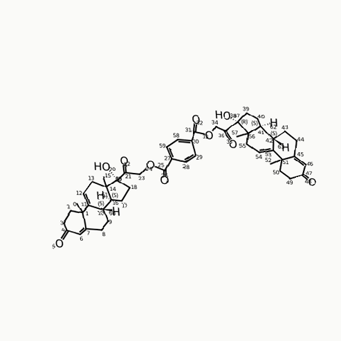 CC12CCC(=O)C=C1CC[C@@H]1C2=CCC2(C)[C@H]1CC[C@]2(O)C(=O)COC(=O)c1ccc(C(=O)OCC(=O)[C@@]2(O)CC[C@H]3[C@@H]4CCC5=CC(=O)CCC5(C)C4=CCC32C)cc1